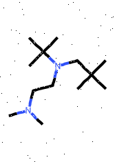 CN(C)CCN(CC(C)(C)C)C(C)(C)C